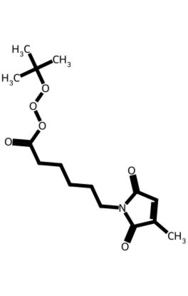 CC1=CC(=O)N(CCCCCC(=O)OOOC(C)(C)C)C1=O